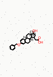 C[C@]12CC[C@@H]3c4ccc(OCc5ccccc5)cc4CC[C@H]3[C@@H]1C(CC(=O)O)C[C@@H]2O